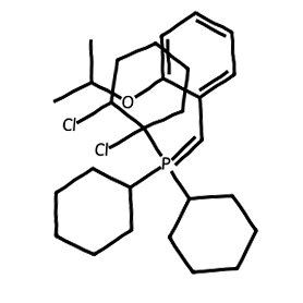 CC(C)Oc1ccccc1C=P(C1CCCCC1)(C1CCCCC1)C1(Cl)CCCCC1Cl